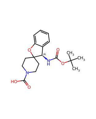 CC(C)(C)OC(=O)N[C@@H]1c2ccccc2OC12CCN(C(=O)O)CC2